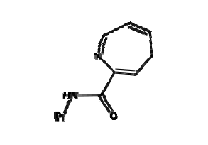 CC(C)NC(=O)C1=CCC=CC=N1